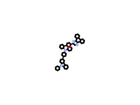 c1ccc(N(c2ccc(-c3ccc4c(c3)c3ccccc3n4-c3ccccc3)cc2)c2ccccc2-c2ccc(-c3cnc4c5ccccc5c5ccccc5c4n3)cc2)cc1